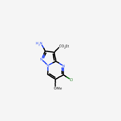 CCOC(=O)c1c(N)nn2cc(OC)c(Cl)nc12